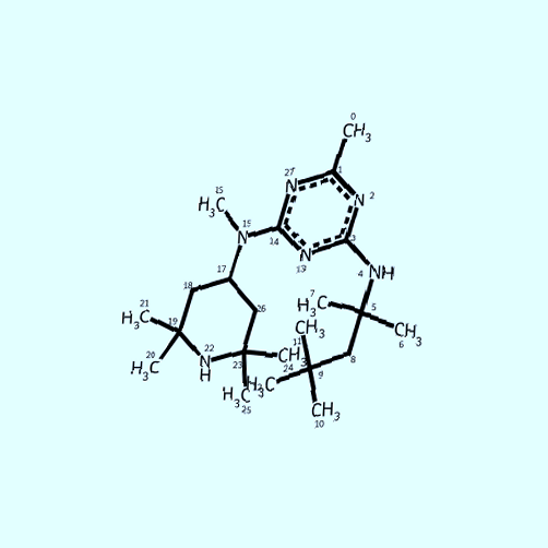 Cc1nc(NC(C)(C)CC(C)(C)C)nc(N(C)C2CC(C)(C)NC(C)(C)C2)n1